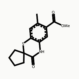 COC(=O)c1cc2c(cc1C)SC1(CCCC1)C(=O)N2